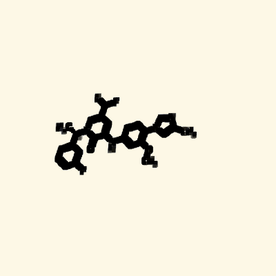 COc1cc(Nc2cc(C(F)F)cn([C@@H](C)c3cccc(F)c3)c2=O)ccc1-n1cnc(C)c1